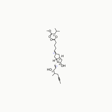 CC#CCC(C)[C@H](O)/C=C/[C@@H]1[C@H]2C/C(=C/CCCC(=O)O[C@H](C(=O)OC)C(C)C)C[C@H]2C[C@H]1O